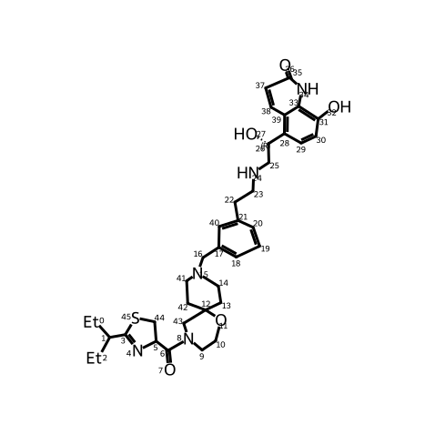 CCC(CC)C1=NC(C(=O)N2CCOC3(CCN(Cc4cccc(CCNC[C@H](O)c5ccc(O)c6[nH]c(=O)ccc56)c4)CC3)C2)CS1